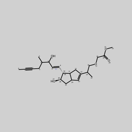 CC#CCC(C)C(O)/C=C/[C@@H]1C2CC(C(C)COCC(=O)OC)=CC2C[C@H]1O